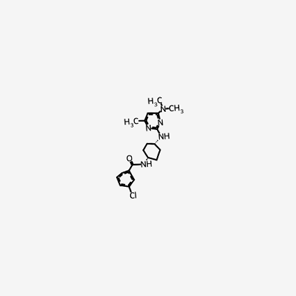 Cc1cc(N(C)C)nc(N[C@H]2CC[C@@H](NC(=O)c3cccc(Cl)c3)CC2)n1